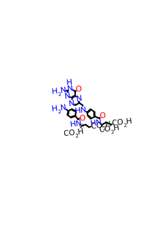 Nc1ccc(C(=O)N[C@@H](CCC(=O)O)C(=O)O)cc1.Nc1nc2ncc(CNc3ccc(C(=O)NC(CCC(=O)O)C(=O)O)cc3)nc2c(=O)[nH]1